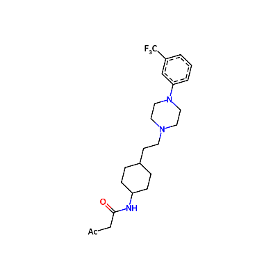 CC(=O)CC(=O)NC1CCC(CCN2CCN(c3cccc(C(F)(F)F)c3)CC2)CC1